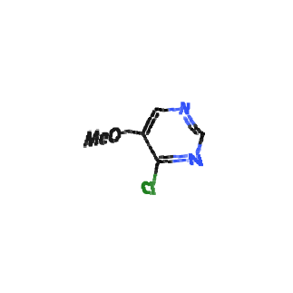 COc1cncnc1Cl